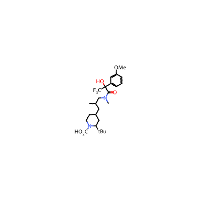 COc1cccc(C(O)(C(=O)N(C)CC(C)CC2CCN(C(=O)O)C(C(C)(C)C)C2)C(F)(F)F)c1